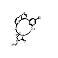 CCc1cc2cc(c1)-c1cnn3ccc(nc13)OC[C@@H]1C[C@@H](OC)C(=O)N1CCN2